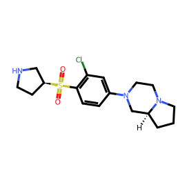 O=S(=O)(c1ccc(N2CCN3CCC[C@H]3C2)cc1Cl)[C@H]1CCNC1